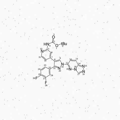 CC(C)(C)OC(=O)Nc1cc(-c2cn(-c3ccc4nncn4n3)nc2-c2ccc(F)c(F)c2)ccn1